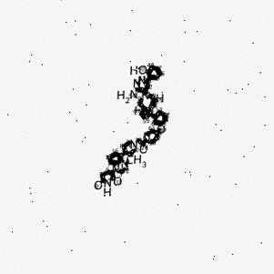 CN1CCN([C@@H]2CCC(=O)NC2=O)c2cccc(C3CCN(CC(=O)N4CCC(Oc5cccc(C6C7C[C@H]8CN(c9cc(-c%10ccccc%10O)nnc9N)CC[C@H]7CC68)c5)CC4)CC3)c21